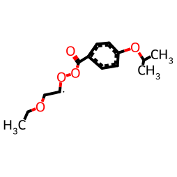 CCOC[CH]OOC(=O)c1ccc(OC(C)C)cc1